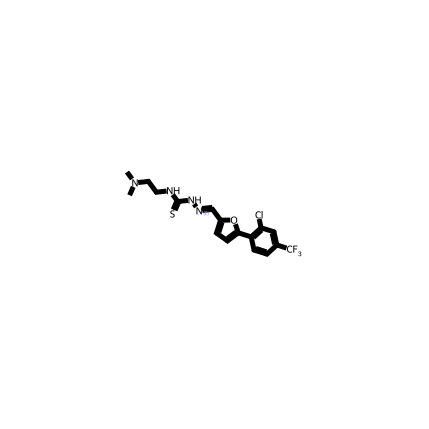 CN(C)CCNC(=S)N/N=C/c1ccc(-c2ccc(C(F)(F)F)cc2Cl)o1